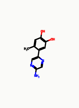 Cc1cc(O)c(O)cc1-c1cnc(N)cn1